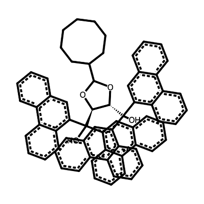 OC(c1cc2ccccc2c2ccccc12)(c1cc2ccccc2c2ccccc12)[C@H]1OC(C2CCCCCCC2)O[C@@H]1C(O)(c1cc2ccccc2c2ccccc12)c1cc2ccccc2c2ccccc12